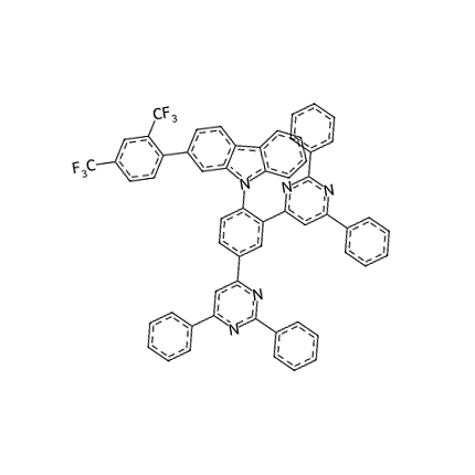 FC(F)(F)c1ccc(-c2ccc3c4ccccc4n(-c4ccc(-c5cc(-c6ccccc6)nc(-c6ccccc6)n5)cc4-c4cc(-c5ccccc5)nc(-c5ccccc5)n4)c3c2)c(C(F)(F)F)c1